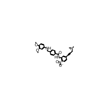 COc1ccc(NCc2ccc(C(=O)Nc3cc(C#CCN(C)C)ccc3[N+](=O)[O-])cc2)cc1OC